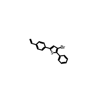 C=Cc1ccc(-c2cc(Br)c(-c3ccccc3)s2)cc1